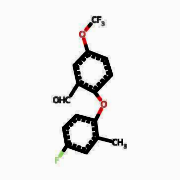 Cc1cc(F)ccc1Oc1ccc(OC(F)(F)F)cc1C=O